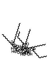 CCCCCCCCCCCCCCCC(=O)O[C@H](CCCCCCCCCCC)CC(=O)N[C@@H]1C(O)OC(CO[C@@H]2OC(CO)[C@@H](OP(=O)(O)O)C(OC(=O)C[C@@H](CCCCCCCCCCC)OC(=O)CCCCCCCCCCCCC)[C@@H]2NC(=O)C[C@@H](CCCCCCCCCCC)OC(=O)CCCCCCCCCCC)[C@@H](O)C1O